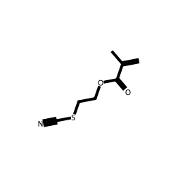 C=C(C)C(=O)OCCSC#N